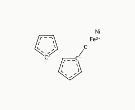 Cl[c-]1cccc1.[Fe+2].[Ni].c1cc[cH-]c1